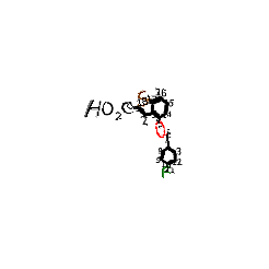 O=C(O)c1cc2c(OCc3ccc(F)cc3)cccc2s1